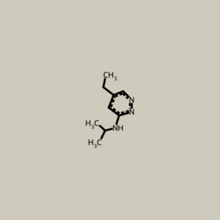 CCc1cnnc(NC(C)C)c1